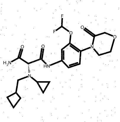 NC(=O)[C@H](C(=O)Nc1ccc(N2CCOCC2=O)c(OC(F)F)c1)N(CC1CCC1)C1CC1